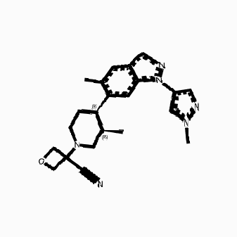 Cc1cc2cnn(-c3cnn(C)c3)c2cc1[C@@H]1CCN(C2(C#N)COC2)C[C@@H]1C